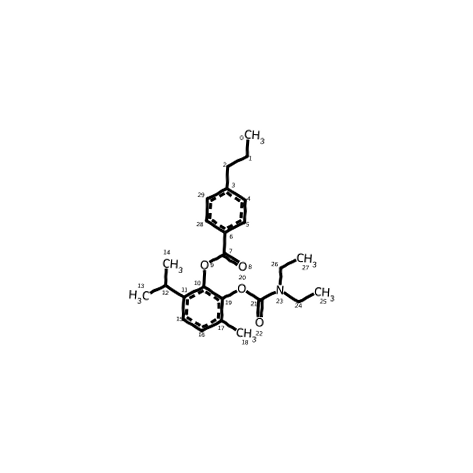 CCCc1ccc(C(=O)Oc2c(C(C)C)ccc(C)c2OC(=O)N(CC)CC)cc1